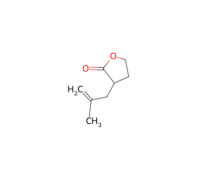 C=C(C)CC1CCOC1=O